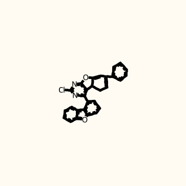 Clc1nc2c(c(-c3cccc4oc5ccccc5c34)n1)C1CC=C(c3ccccc3)C=C1O2